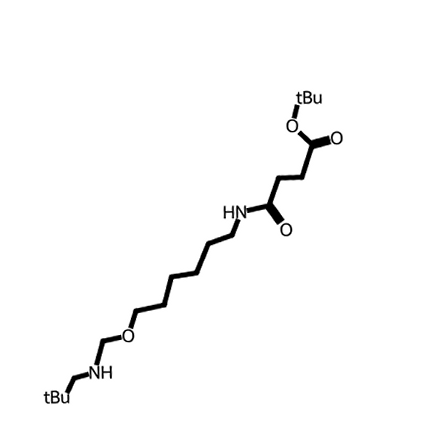 CC(C)(C)CNCOCCCCCCNC(=O)CCC(=O)OC(C)(C)C